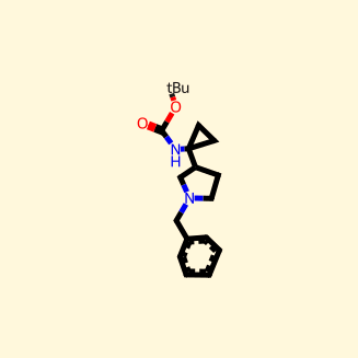 CC(C)(C)OC(=O)NC1(C2CCN(Cc3ccccc3)C2)CC1